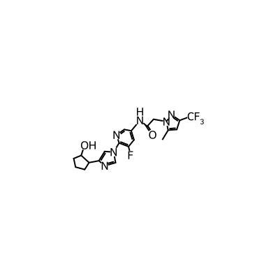 Cc1cc(C(F)(F)F)nn1CC(=O)Nc1cnc(-n2cnc(C3CCCC3O)c2)c(F)c1